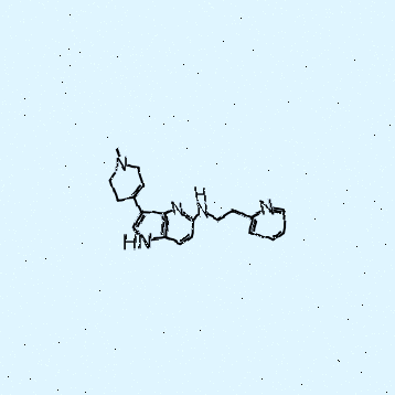 CN1CC=C(c2c[nH]c3ccc(NCCc4ccccn4)nc23)CC1